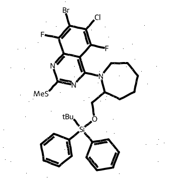 CSc1nc(N2CCCCCC2CO[Si](c2ccccc2)(c2ccccc2)C(C)(C)C)c2c(F)c(Cl)c(Br)c(F)c2n1